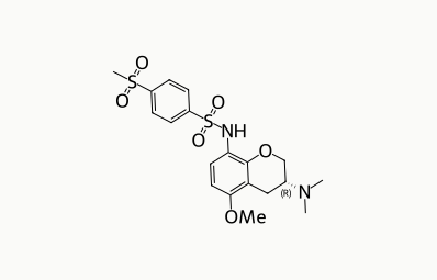 COc1ccc(NS(=O)(=O)c2ccc(S(C)(=O)=O)cc2)c2c1C[C@@H](N(C)C)CO2